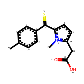 Cc1ccc(C(=S)c2ccc(CC(=O)O)n2C)cc1